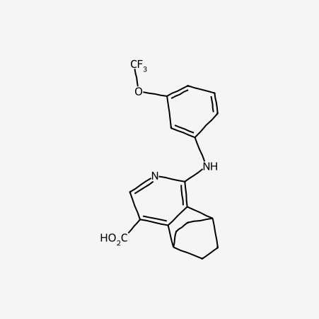 O=C(O)c1cnc(Nc2cccc(OC(F)(F)F)c2)c2c1C1CCC2CC1